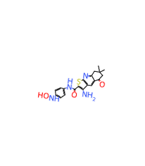 CC1(C)CC(=O)c2cc3c(N)c(C(=O)Nc4ccc(NO)cc4)sc3nc2C1